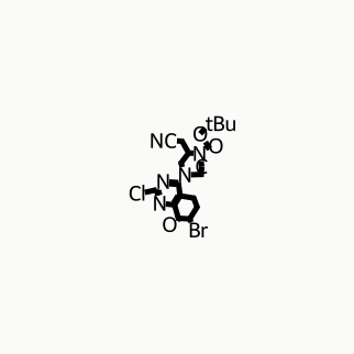 CC(C)(C)OC(=O)N1CCN(c2nc(Cl)nc3c2CCC(Br)C3=O)CC1CC#N